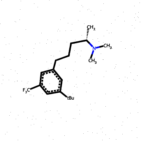 C[C@@H](CCCc1cc(C(C)(C)C)cc(C(F)(F)F)c1)N(C)C